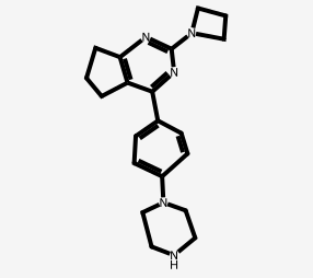 c1cc(N2CCNCC2)ccc1-c1nc(N2CCC2)nc2c1CCC2